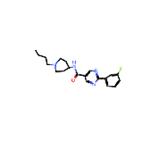 CCCCN1CCC(NC(=O)c2cnc(-c3cccc(F)c3)nc2)CC1